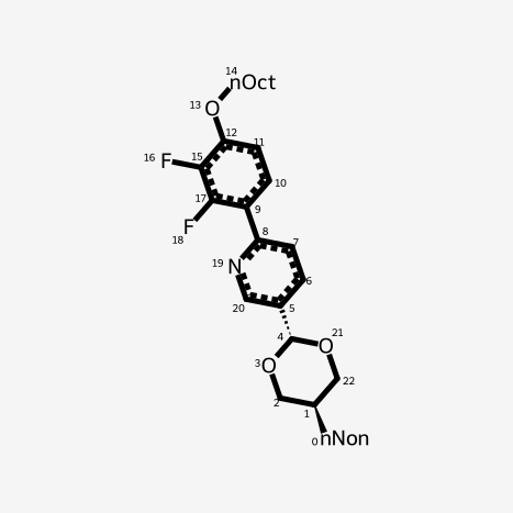 CCCCCCCCC[C@H]1CO[C@H](c2ccc(-c3ccc(OCCCCCCCC)c(F)c3F)nc2)OC1